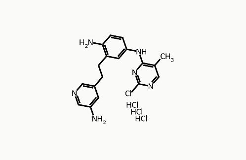 Cc1cnc(Cl)nc1Nc1ccc(N)c(CCc2cncc(N)c2)c1.Cl.Cl.Cl